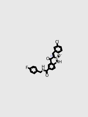 O=C(NCc1ccc(F)cc1)c1ccc2c(c1)C(=O)/C(=C/c1cccc(Cl)c1)[S+]([O-])N2